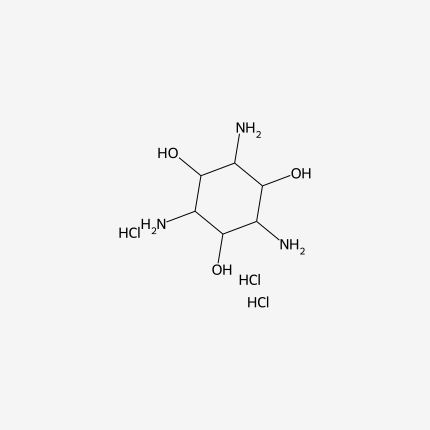 Cl.Cl.Cl.NC1C(O)C(N)C(O)C(N)C1O